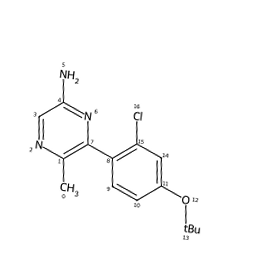 Cc1ncc(N)nc1-c1ccc(OC(C)(C)C)cc1Cl